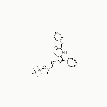 Cc1c(OCC(C)O[Si](C)(C)C(C)(C)C)nn(-c2ccccc2)c1NC(=O)Oc1ccccc1